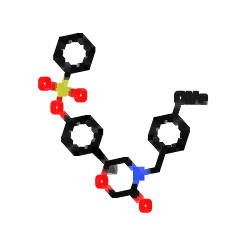 COc1ccc(CN2C[C@H](c3ccc(OS(=O)(=O)c4ccccc4)cc3)OCC2=O)cc1